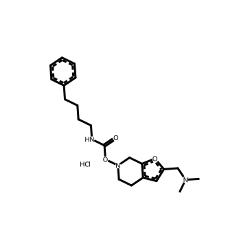 CN(C)Cc1cc2c(o1)CN(OC(=O)NCCCCc1ccccc1)CC2.Cl